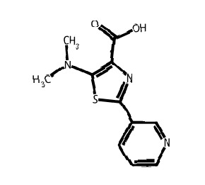 CN(C)c1sc(-c2cccnc2)nc1C(=O)O